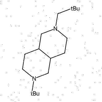 CC(C)(C)CN1CCC2CN(C(C)(C)C)CCC2C1